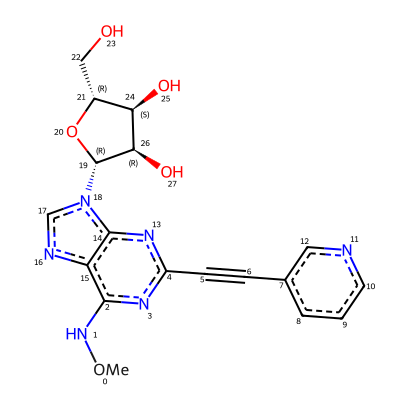 CONc1nc(C#Cc2cccnc2)nc2c1ncn2[C@@H]1O[C@H](CO)[C@@H](O)[C@H]1O